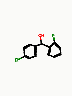 OC(c1ccc(Cl)cc1)c1ccccc1F